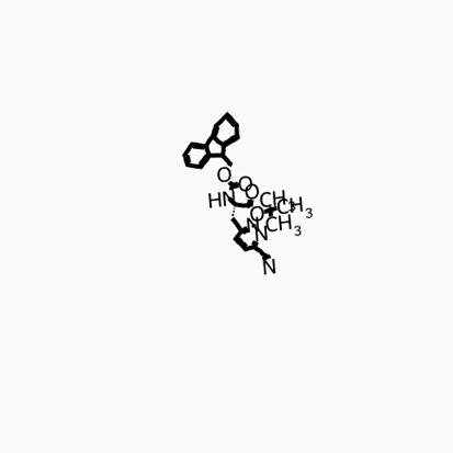 CC(C)(C)OC(=O)[C@H](Cc1ccc(C#N)nn1)NC(=O)OCC1c2ccccc2-c2ccccc21